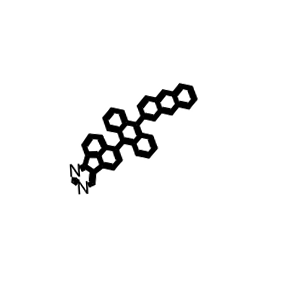 c1ccc2cc3cc(-c4c5ccccc5c(-c5ccc6c7c(cccc57)-c5ncncc5-6)c5ccccc45)ccc3cc2c1